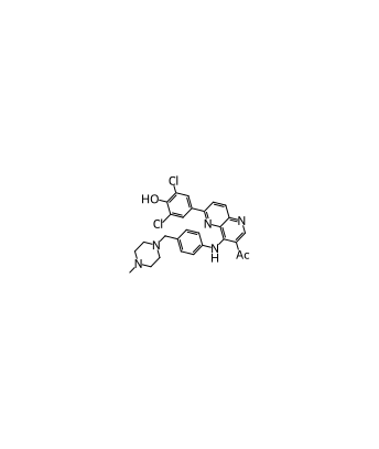 CC(=O)c1cnc2ccc(-c3cc(Cl)c(O)c(Cl)c3)nc2c1Nc1ccc(CN2CCN(C)CC2)cc1